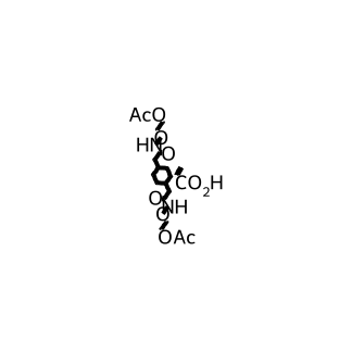 C=CC(=O)O.CC(=O)OCCONC(=O)CC1CCC(CC(=O)NOCCOC(C)=O)CC1